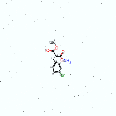 CC(C)(C)OC(=O)[C@@H](Cc1ccc(Br)cc1)C(=O)ON